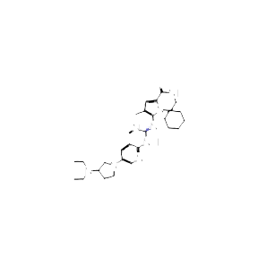 C=N/C(=N\c1c(C)cc2n1C1(CCCCC1)CNC2=O)Nc1ccc(N2CCC(N(CC)CC)C2)cn1